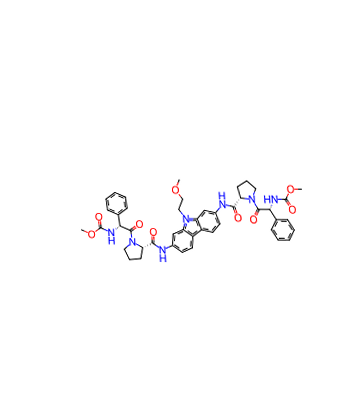 COCCn1c2cc(NC(=O)[C@@H]3CCCN3C(=O)[C@H](NC(=O)OC)c3ccccc3)ccc2c2ccc(NC(=O)[C@@H]3CCCN3C(=O)[C@H](NC(=O)OC)c3ccccc3)cc21